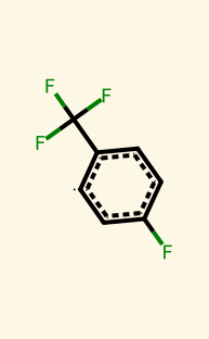 Fc1c[c]c(C(F)(F)F)cc1